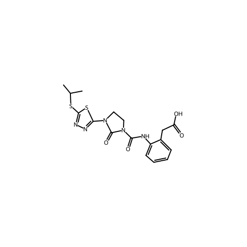 CC(C)Sc1nnc(N2CCN(C(=O)Nc3ccccc3CC(=O)O)C2=O)s1